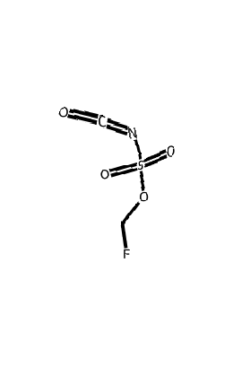 O=C=NS(=O)(=O)OCF